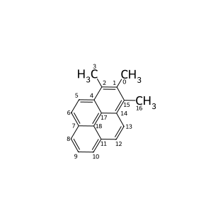 Cc1c(C)c2ccc3cccc4ccc(c1C)c2c34